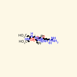 CC(C)C[C@H](NC(=O)[C@@H](NC(=O)[C@@H](N)CCCNC(=N)N)C(C)C)C(=O)N[C@@H](C)C(=O)N[C@@H](CCC(=O)O)C(=O)N[C@@H](C)C(=O)O